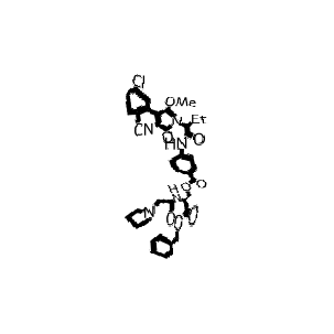 CCC(C(=O)Nc1ccc(C(=O)OC[C@H](NC(=O)CN2CCCC2)C(=O)OCc2ccccc2)cc1)n1cc(OC)c(-c2cc(Cl)ccc2C#N)cc1=O